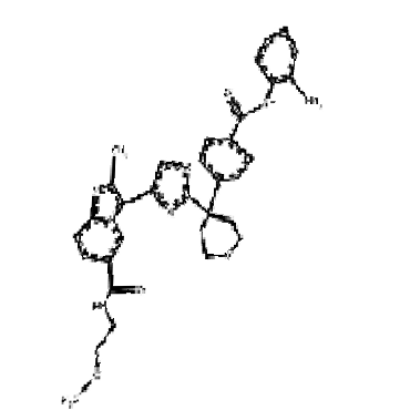 COCCNC(=O)c1ccc2nc(C)c(-c3csc(C4(c5ccc(C(=O)Nc6ccccc6N)cc5)CCOCC4)n3)n2c1